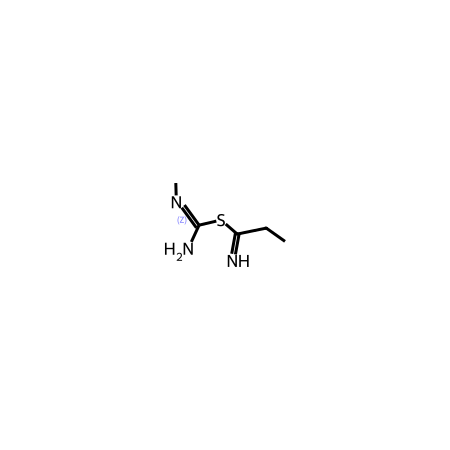 CCC(=N)S/C(N)=N\C